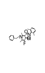 Cc1cccc(C)c1NC(=O)c1c(C)n(CCc2ccccc2)c(C)c(F)c1=O